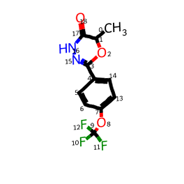 CC1OC(c2ccc(OC(F)(F)F)cc2)=NNC1=O